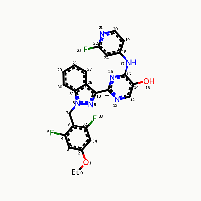 CCOc1cc(F)c(Cn2nc(-c3ncc(O)c(Nc4ccnc(F)c4)n3)c3ccccc32)c(F)c1